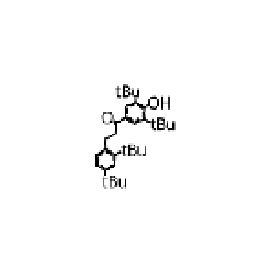 CC(C)(C)c1ccc(CCC(=O)c2cc(C(C)(C)C)c(O)c(C(C)(C)C)c2)c(C(C)(C)C)c1